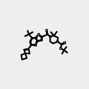 CC(C)(C)OC(=O)N1CCN(C(=O)c2cc3nc(C4=CC5(CCC5)C4)cc(C(C)(C)C)c3o2)C(C)(C)C1